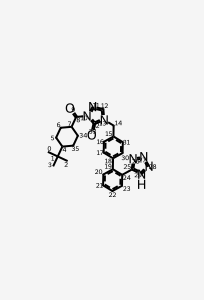 CC(C)(C)C1CCC(C(=O)n2ncn(Cc3ccc(-c4ccccc4-c4nnn[nH]4)cc3)c2=O)CC1